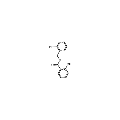 CC(C)c1ccccc1COC(=O)c1ccccc1O